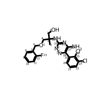 CC(CO)(COCc1ccccc1F)Nc1nnc(-c2cccc(Cl)c2Cl)c(N)n1